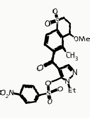 CCn1ncc(C(=O)c2ccc3c(c2C)C(OC)CCS3(=O)=O)c1OS(=O)(=O)c1ccc([N+](=O)[O-])cc1